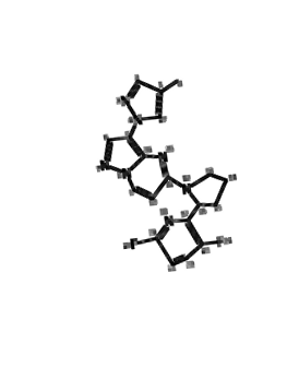 Cc1cnn(-c2cnn3ccc(N4CCCC4c4nc(F)ccc4F)nc23)c1